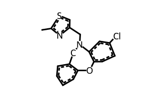 Cc1nc(CN2Cc3ccccc3Oc3ccc(Cl)cc32)cs1